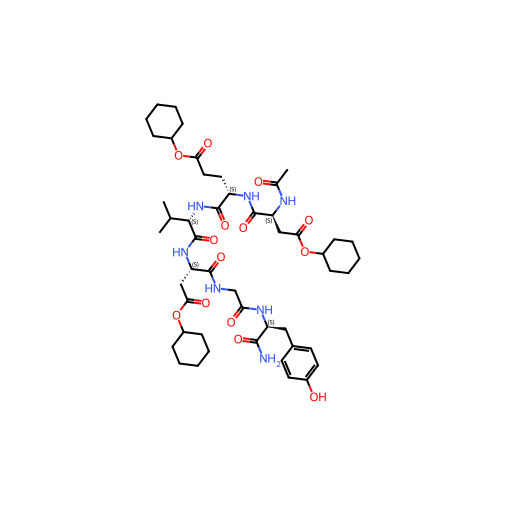 CC(=O)N[C@@H](CC(=O)OC1CCCCC1)C(=O)N[C@@H](CCC(=O)OC1CCCCC1)C(=O)N[C@H](C(=O)N[C@@H](CC(=O)OC1CCCCC1)C(=O)NCC(=O)N[C@@H](Cc1ccc(O)cc1)C(N)=O)C(C)C